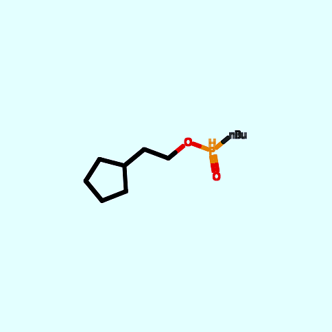 CCCC[PH](=O)OCCC1CCCC1